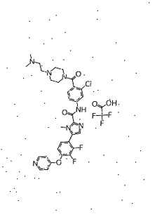 CN(C)CCN1CCN(C(=O)c2ccc(NC(=O)c3ncc(-c4ccc(Oc5ccncc5)c(F)c4F)n3C)cc2Cl)CC1.O=C(O)C(F)(F)F